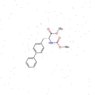 CC(C)(C)OC(=O)N[C@H](Cc1ccc(-c2ccccc2)cc1)C(=O)OC(C)(C)C